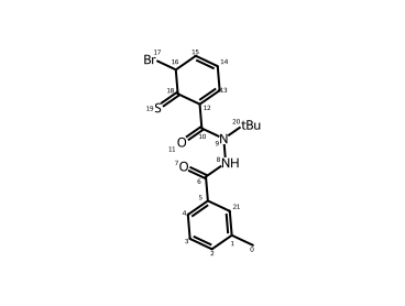 Cc1cccc(C(=O)NN(C(=O)C2=CC=CC(Br)C2=S)C(C)(C)C)c1